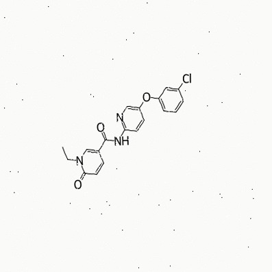 CCn1cc(C(=O)Nc2ccc(Oc3cccc(Cl)c3)cn2)ccc1=O